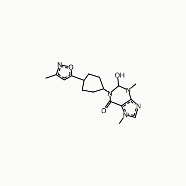 Cc1cc(C2CCC(N3C(=O)c4c(ncn4C)N(C)C3O)CC2)on1